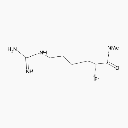 CNC(=O)[C@@H](CCCCNC(=N)N)C(C)C